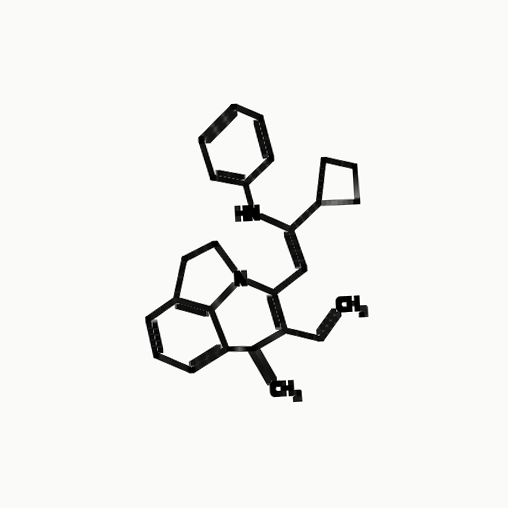 C=CC1=C(/C=C(\Nc2ccccc2)C2CCC2)N2CCc3cccc(c32)C1=C